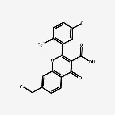 O=C(O)c1c(-c2cc(F)ccc2P)oc2cc(CCl)ccc2c1=O